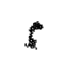 CN(C)C(=O)c1ccc(OCCC[C@H]2CC23CCN(C(=O)C(O)(c2ccccc2)C(F)(F)F)CC3)cc1Cl